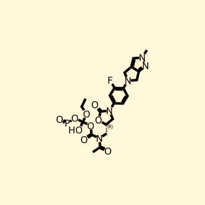 CCOC(O)(OP=O)OC(=O)N(C[C@H]1CN(c2ccc(N3Cc4cn(C)nc4C3)c(F)c2)C(=O)O1)C(C)=O